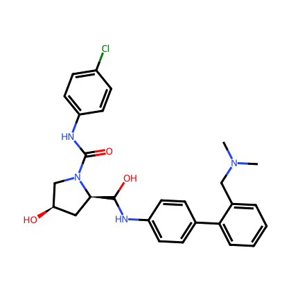 CN(C)Cc1ccccc1-c1ccc(NC(O)[C@H]2C[C@@H](O)CN2C(=O)Nc2ccc(Cl)cc2)cc1